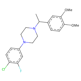 COc1ccc(C(C)N2CCN(c3ccc(Cl)c(F)c3)CC2)cc1OC